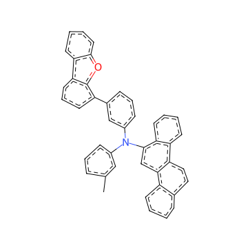 Cc1cccc(N(c2cccc(-c3cccc4c3oc3ccccc34)c2)c2cc3c4ccccc4ccc3c3ccccc23)c1